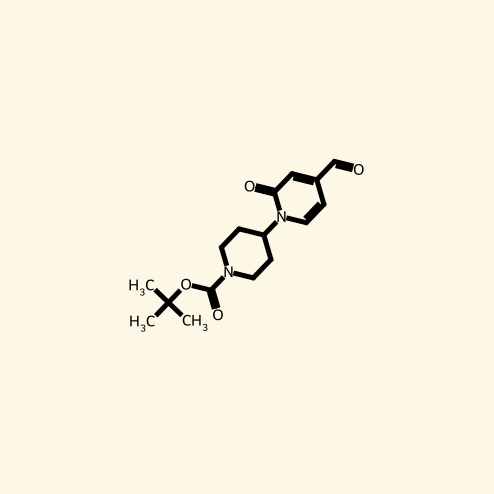 CC(C)(C)OC(=O)N1CCC(n2ccc(C=O)cc2=O)CC1